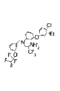 CCc1cc(Oc2cccc(N(Cc3cccc(OC(F)(F)C(F)F)c3)CC(N)C(F)(F)F)c2)ccc1Cl